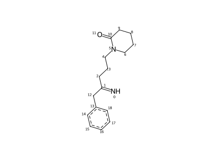 N=C(C[CH]CN1CCCCC1=O)Cc1ccccc1